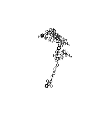 CC[C@H](C)C([C@@H](CC(=O)N1CCC[C@H]1[C@H](OC)[C@@H](C)C(=O)N[C@@H](Cc1ccccc1)C(=O)O)OC)N(C)C(=O)[C@@H](NC(=O)[C@H](C(C)C)N(C)C(=O)OCc1ccc(NC(=O)[C@H](CCCNC(N)=O)NC(=O)[C@@H](NC(=O)CCOCCOCCOCCOCCON2C(=O)c3ccccc3C2=O)C(C)C)cc1)C(C)C